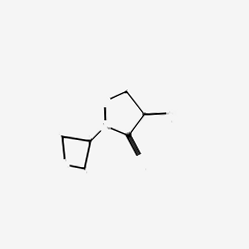 NC1CON(C2CSC2)C1=O